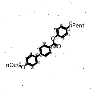 CCCCCCCCOc1ccc(-c2ccc(C(=O)Oc3ccc(CCCCC)cc3)cc2)cc1